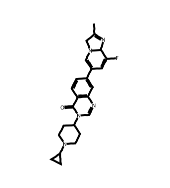 CC1=NC2C(F)=CC(c3ccc4c(=O)n(C5CCN(C6CC6)CC5)cnc4c3)=CN2C1